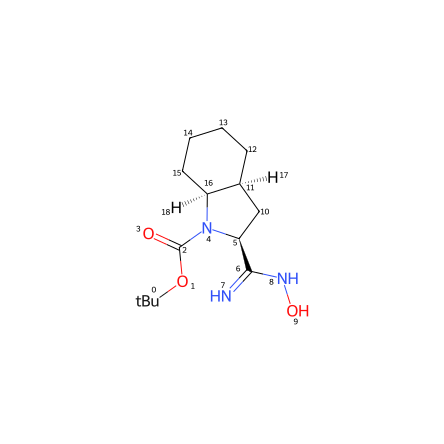 CC(C)(C)OC(=O)N1[C@H](C(=N)NO)C[C@@H]2CCCC[C@@H]21